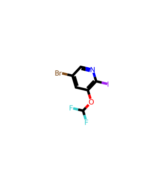 FC(F)Oc1cc(Br)cnc1I